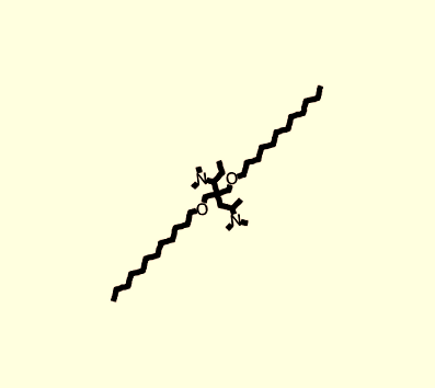 CCCCCCCCCCCCOCC(COCCCCCCCCCCCC)(CC(C)N(C)C)C(CC)N(C)C